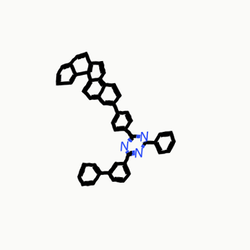 c1ccc(-c2cccc(-c3nc(-c4ccccc4)nc(-c4ccc(-c5ccc6c(ccc7c6ccc6ccc8ccccc8c67)c5)cc4)n3)c2)cc1